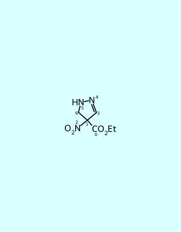 CCOC(=O)C1([N+](=O)[O-])C=NNC1